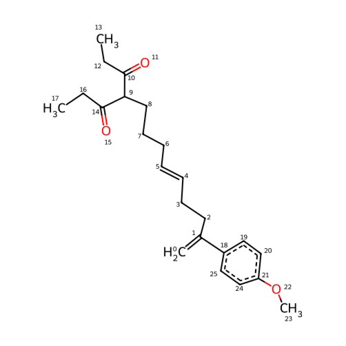 C=C(CCC=CCCCC(C(=O)CC)C(=O)CC)c1ccc(OC)cc1